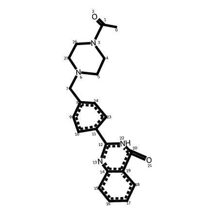 CC(=O)N1CCN(Cc2ccc(-c3nc4ccccc4c(=O)[nH]3)cc2)CC1